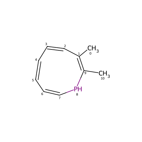 Cc1cccccc[pH]c1C